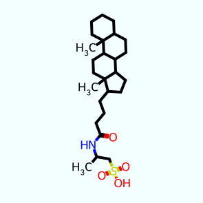 CC(CS(=O)(=O)O)NC(=O)CCCC1CCC2C3CCC4CCCCC4(C)C3CCC12C